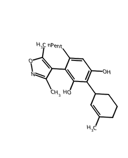 CCCCCc1cc(O)c(C2C=C(C)CCC2)c(O)c1-c1c(C)noc1C